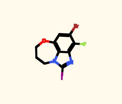 Fc1c(Br)cc2c3c1nc(I)n3CCCO2